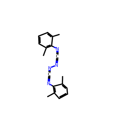 Cc1cccc(C)c1N=C=NN=C=Nc1c(C)cccc1C